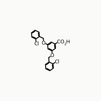 O=C(O)c1cc(OCc2ccccc2Cl)cc(OCc2ccccc2Cl)c1